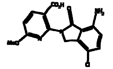 COc1ccc(C(=O)O)c(N2Cc3c(Cl)ccc(N)c3C2=O)n1